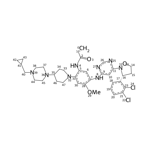 C=CC(=O)Nc1cc(Nc2cc(N3OCC[C@@H]3c3cccc(Cl)c3Cl)ncn2)c(OC)cc1N1CCC(N2CCN(CC3CC3)CC2)CC1